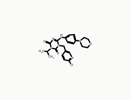 CC(C)n1c(=O)nc(Nc2ccc(N3CCOCC3)cc2)n(Cc2ccc(Cl)nc2)c1=O